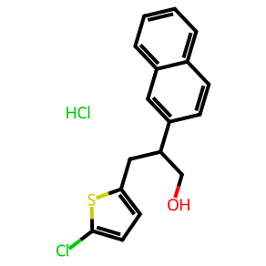 Cl.OCC(Cc1ccc(Cl)s1)c1ccc2ccccc2c1